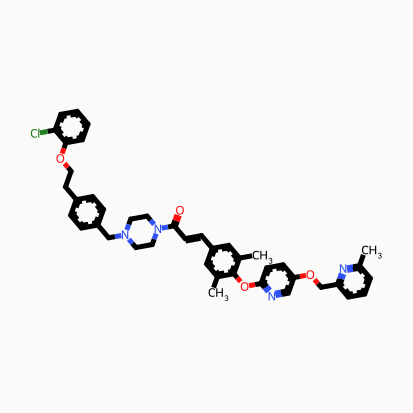 Cc1cccc(COc2ccc(Oc3c(C)cc(/C=C/C(=O)N4CCN(Cc5ccc(CCOc6ccccc6Cl)cc5)CC4)cc3C)nc2)n1